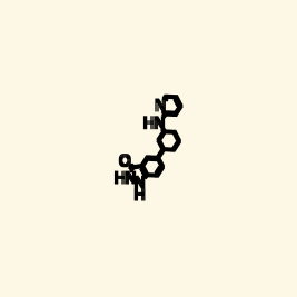 O=c1[nH][nH]c2ccc(C3CCCC(Nc4ccccn4)C3)cc12